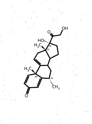 C[C@H]1CC2C(=CC[C@@]3(C)C2CC[C@]3(O)C(=O)CO)[C@@]2(C)C=CC(=O)C=C12